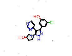 Oc1cc(Cl)cc(-c2n[nH]c(N3CCC(O)C3)c2-c2ccncn2)c1